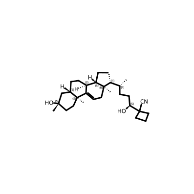 C[C@H](CC[C@H](O)C1(C#N)CCC1)[C@H]1CC[C@H]2[C@@H]3CC[C@H]4C[C@@](C)(O)CC[C@]4(C)C3=CC[C@]12C